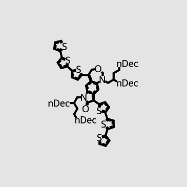 CCCCCCCCCCCCC(CCCCCCCCCC)CN1COCC(c2ccc(-c3ccc(-c4cccs4)s3)s2)=c2cc3c(cc21)=C(c1ccc(-c2ccc(-c4cccs4)s2)s1)C(=O)N3CC(CCCCCCCCCC)CCCCCCCCCCCC